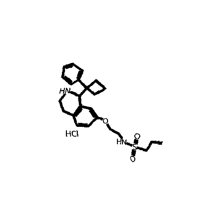 CCCS(=O)(=O)NCCOc1ccc2c(c1)C(C1(c3ccccc3)CCC1)NCC2.Cl